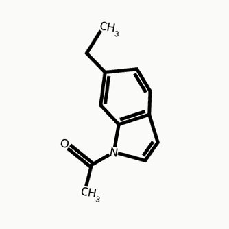 CCc1ccc2ccn(C(C)=O)c2c1